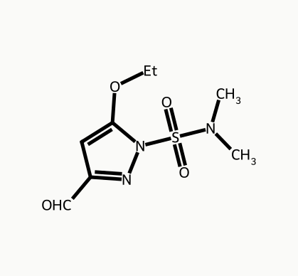 CCOc1cc(C=O)nn1S(=O)(=O)N(C)C